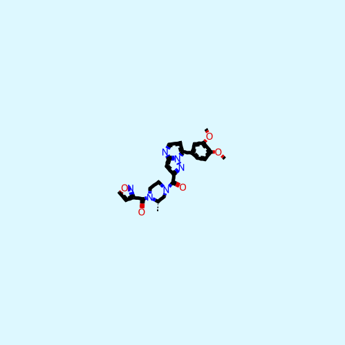 COc1ccc(-c2ccnc3cc(C(=O)N4CCN(C(=O)c5ccon5)[C@@H](C)C4)nn23)cc1OC